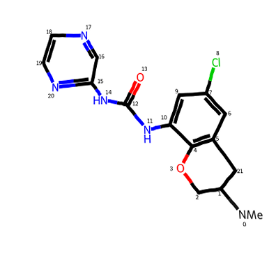 CNC1COc2c(cc(Cl)cc2NC(=O)Nc2cnccn2)C1